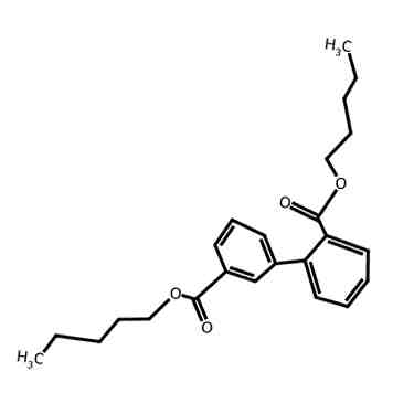 CCCCCOC(=O)c1cccc(-c2ccccc2C(=O)OCCCCC)c1